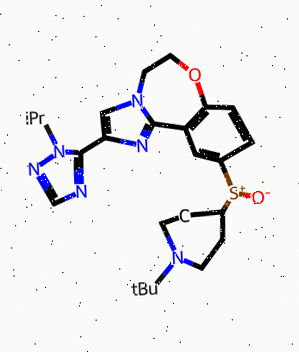 CC(C)n1ncnc1-c1cn2c(n1)-c1cc([S+]([O-])C3CCN(C(C)(C)C)CC3)ccc1OCC2